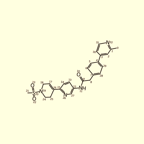 Cc1cc(-c2ccc(CC(=O)Nc3ccc(C4=CCN(S(C)(=O)=O)CC4)nc3)cc2)ccn1